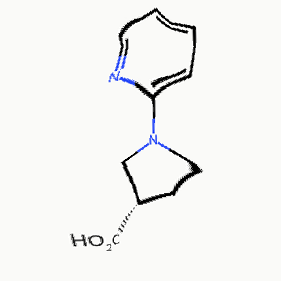 O=C(O)[C@H]1CCN(c2ccccn2)C1